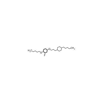 CCCCCOc1ccc(OCCCC2CCC(CCCCC)CC2)cc1F